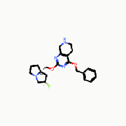 F[C@H]1CN2CCC[C@@]2(COc2nc3c(c(OCc4ccccc4)n2)CCNC3)C1